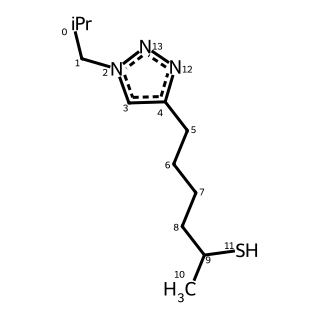 CC(C)Cn1cc(CCCCC(C)S)nn1